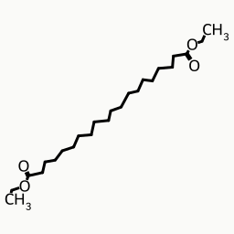 CCOC(=O)CCCCCCCCCCCCCCCCCCC(=O)OCC